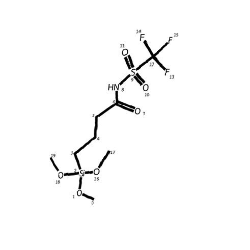 CO[Si](CCCC(=O)NS(=O)(=O)C(F)(F)F)(OC)OC